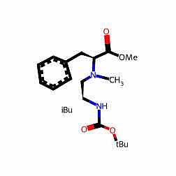 CC[C@H](C)[C@@H](CN(C)[C@@H](Cc1ccccc1)C(=O)OC)NC(=O)OC(C)(C)C